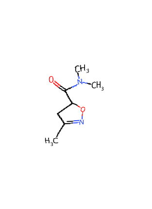 CC1=NOC(C(=O)N(C)C)C1